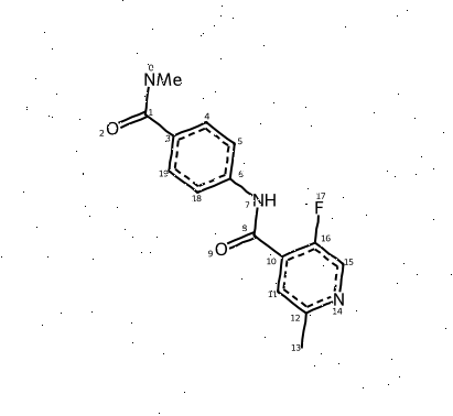 CNC(=O)c1ccc(NC(=O)c2cc(C)ncc2F)cc1